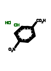 Cl.Cl.O=C(O)c1ccc([N+](=O)[O-])cc1